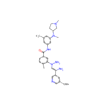 COc1cncc(/C(N)=C/N(N)c2cc(C(=O)Nc3cc(N(C)C4CCN(C)C4)cc(C(F)(F)F)c3)ccc2C)c1